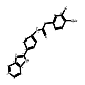 COc1ccc(CC(=O)Nc2ccc(-c3nc4cnccc4[nH]3)cc2)cc1Br